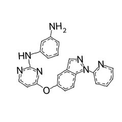 Nc1cccc(Nc2nccc(Oc3ccc4c(cnn4-c4ccccn4)c3)n2)c1